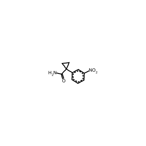 NC(=O)C1(c2cccc([N+](=O)[O-])c2)CC1